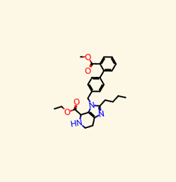 CCCCc1nc2c(n1Cc1ccc(-c3ccccc3C(=O)OC)cc1)C(C(=O)OCC)NCC2